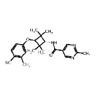 Cc1ncc(C(=O)N[C@H]2C(C)(C)[C@H](Oc3ccc(C#N)c(C)c3)C2(C)C)cn1